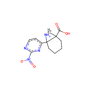 CC1(C(=O)O)CCCCC1(N)c1ccnc([N+](=O)[O-])n1